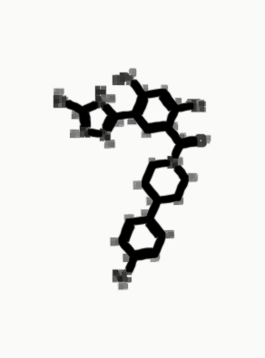 CCCc1cc(CC)c(C(=O)N2CCC(c3ccc(C#N)cc3)CC2)cc1-c1nnc(CC)[nH]1